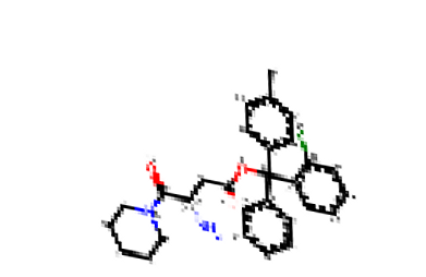 Cc1ccc(C(OC(=O)C[C@H](N)C(=O)N2CCCCC2)(c2ccccc2)c2ccccc2Cl)cc1